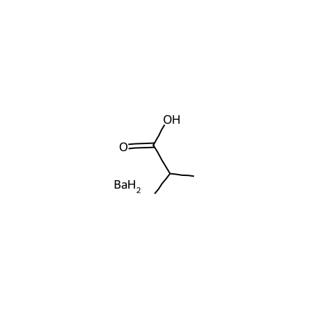 CC(C)C(=O)O.[BaH2]